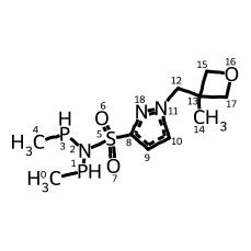 CPN(PC)S(=O)(=O)c1ccn(CC2(C)COC2)n1